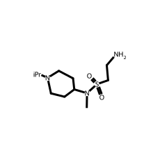 CC(C)N1CCC(N(C)S(=O)(=O)CCN)CC1